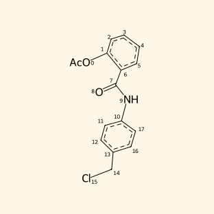 CC(=O)Oc1ccccc1C(=O)Nc1ccc(CCl)cc1